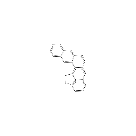 C1=Cc2c3c1cccc3cc1ccc3cc4ccccc4cc3c21